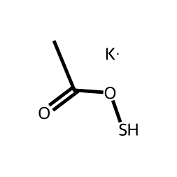 CC(=O)OS.[K]